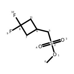 COS(=O)(=O)CC1CC(F)(F)C1